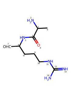 CC(N)C(=O)NC(C=O)CCCNC(=N)N